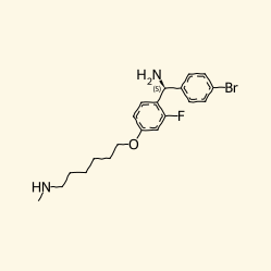 CNCCCCCCOc1ccc([C@@H](N)c2ccc(Br)cc2)c(F)c1